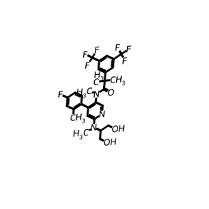 Cc1cc(F)ccc1-c1cc(N(C)C(CO)CO)ncc1N(C)C(=O)C(C)(C)c1cc(C(F)(F)F)cc(C(F)(F)F)c1